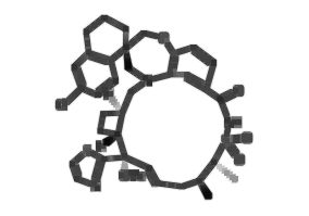 CO[C@@]1(c2nccs2)/C=C/C[C@H](C)[C@@H](C)S(=O)(=O)NC(=O)c2ccc3c(c2)N(C[C@@H]2CC[C@H]21)C[C@@]1(CCCc2cc(Cl)ccc21)CO3